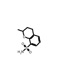 CC1CCc2cccc(S(N)(=O)=O)c2O1